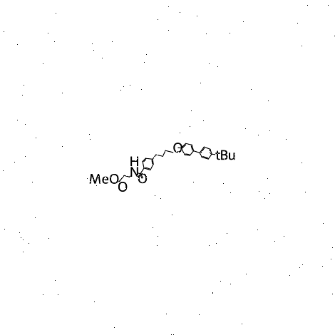 COC(=O)CCNC(=O)c1ccc(CCCCOc2ccc(-c3ccc(C(C)(C)C)cc3)cc2)cc1